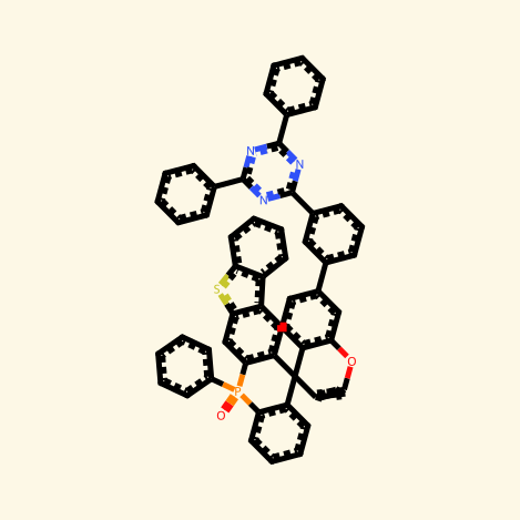 O=P1(c2ccccc2)c2ccccc2C2(c3ccccc3Oc3cc(-c4cccc(-c5nc(-c6ccccc6)nc(-c6ccccc6)n5)c4)ccc32)c2cc3c(cc21)sc1ccccc13